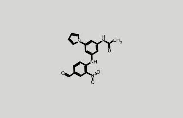 CC(=O)Nc1cc(Nc2ccc(C=O)cc2[N+](=O)[O-])cc(-n2cccc2)c1